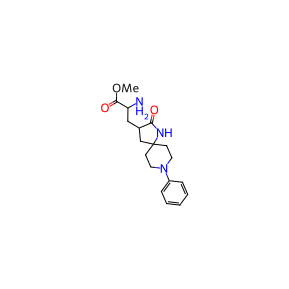 COC(=O)C(N)CC1CC2(CCN(c3ccccc3)CC2)NC1=O